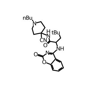 CCCCN1CCC(C#N)(NC(=O)C(CC(C)(C)C)Nc2nc(=O)oc3ccccc23)CC1